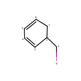 ICC1C=CC=CC1